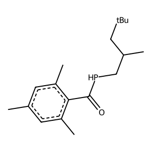 Cc1cc(C)c(C(=O)PCC(C)CC(C)(C)C)c(C)c1